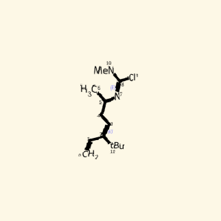 C=C/C(=C\CC(C)/N=C(/Cl)NC)C(C)(C)C